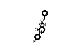 O=C1c2sc(OCc3ccccc3)nc2CCN1c1ccc(F)cc1